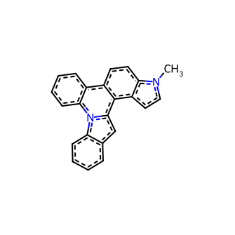 Cn1ccc2c3c(ccc21)c1ccccc1n1c2ccccc2cc31